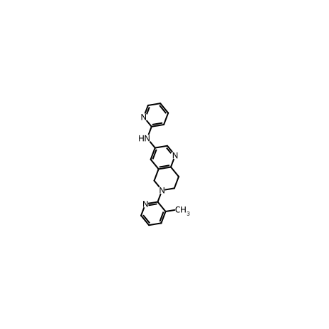 Cc1cccnc1N1CCc2ncc(Nc3ccccn3)cc2C1